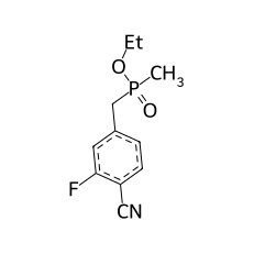 CCOP(C)(=O)Cc1ccc(C#N)c(F)c1